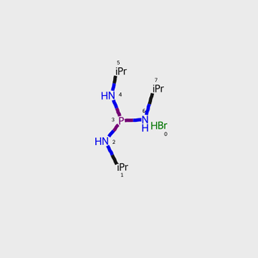 Br.CC(C)NP(NC(C)C)NC(C)C